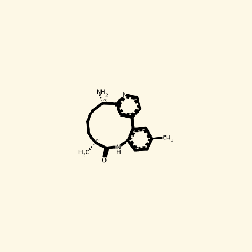 Cc1ccc2c(c1)-c1ccnc(c1)[C@@H](N)CCC[C@@H](C)C(=O)N2